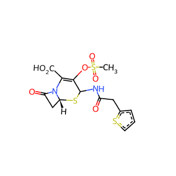 CS(=O)(=O)OC1=C(C(=O)O)N2C(=O)C[C@H]2SC1NC(=O)Cc1cccs1